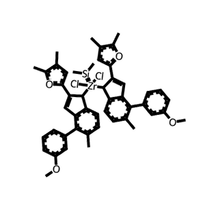 COc1cccc(-c2c(C)ccc3c2C=C(c2cc(C)c(C)o2)[CH]3[Zr]([Cl])([Cl])([CH]2C(c3cc(C)c(C)o3)=Cc3c2ccc(C)c3-c2cccc(OC)c2)=[Si](C)C)c1